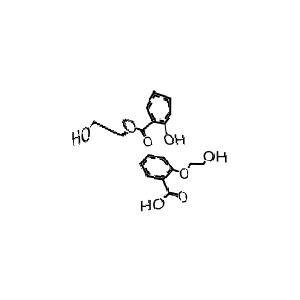 O=C(O)c1ccccc1OCCO.O=C(OCCO)c1ccccc1O